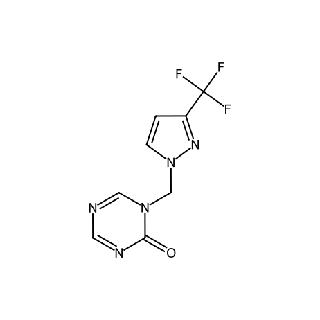 O=c1ncncn1Cn1ccc(C(F)(F)F)n1